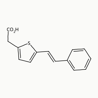 O=C(O)Cc1ccc(/C=C/c2ccccc2)s1